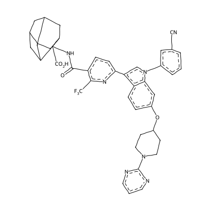 N#Cc1cccc(-n2cc(-c3ccc(C(=O)NC4(C(=O)O)C5CCC6CC(C5)CC4C6)c(C(F)(F)F)n3)c3ccc(OC4CCN(c5ncccn5)CC4)cc32)c1